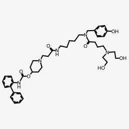 O=C(CCN1CCC(OC(=O)Nc2ccccc2-c2ccccc2)CC1)NCCCCCN(Cc1ccc(O)cc1)C(=O)CCCN(CCO)CCO